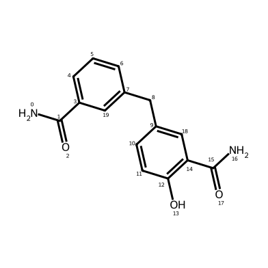 NC(=O)c1cccc(Cc2ccc(O)c(C(N)=O)c2)c1